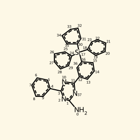 Nc1nc(-c2ccccc2)nc(-c2cccc([Si](c3ccccc3)(c3ccccc3)c3ccccc3)c2)n1